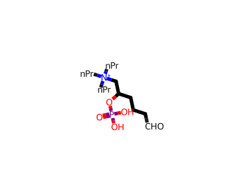 CCC[N+](CCC)(CCC)CC(CCCC=O)OP(=O)(O)O